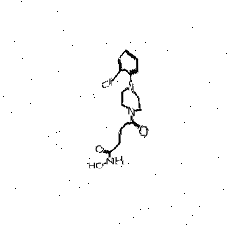 O=C(CCC(=O)N1CCN(c2ccccc2Cl)CC1)NO